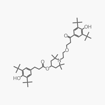 CC(C)(C)c1cc(CCC(=O)OC2CC(C)(C)N(CCOCCC(=O)c3cc(C(C)(C)C)c(O)c(C(C)(C)C)c3)C(C)(C)C2)cc(C(C)(C)C)c1O